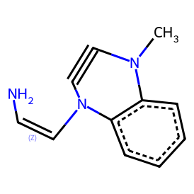 CN1C#CN(/C=C\N)c2ccccc21